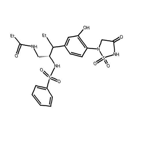 CCC(=O)NC[C@@H](NS(=O)(=O)c1ccccc1)C(CC)c1ccc(N2CC(=O)NS2(=O)=O)c(O)c1